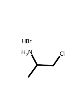 Br.CC(N)CCl